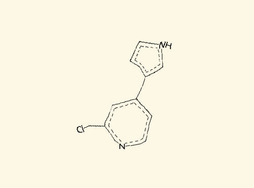 Clc1cc(-c2cc[nH]c2)ccn1